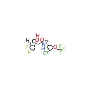 CC(O)(CC(=O)NC1(c2cc(Cl)cc(OCC(F)(F)F)c2)CC1)c1ccc(F)c(F)c1